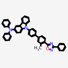 Cc1cc(-c2ccc(-n3c4ccccc4c4cc(N(c5ccccc5)c5ccccc5)ccc43)cc2)ccc1-c1nc(-c2ccccc2)no1